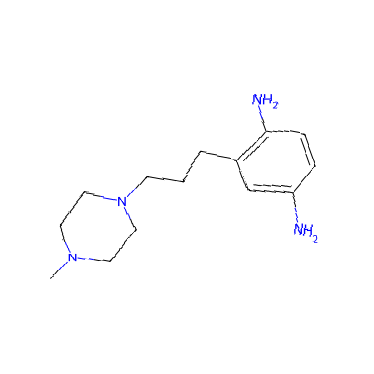 CN1CCN(CCCc2cc(N)ccc2N)CC1